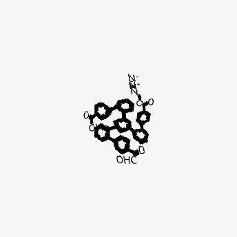 COC(=O)c1ccc(-c2ccccc2-c2cc(-c3ccccc3-c3ccc(C(=O)C=O)cc3)cc(-c3ccccc3-c3ccc(C(=O)OCN=[N+]=[N-])cc3)c2)cc1